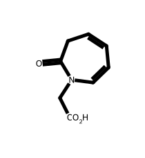 O=C(O)CN1C=CC=CCC1=O